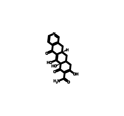 NC(=O)C1=C(O)CC2C[C@@H]3Cc4cnccc4C(=O)C3=C(O)[C@]2(O)C1=O